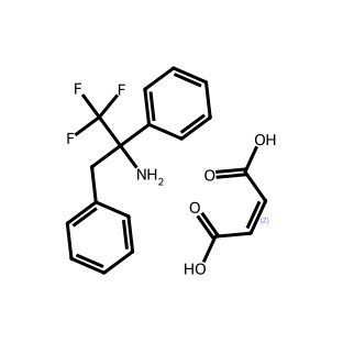 NC(Cc1ccccc1)(c1ccccc1)C(F)(F)F.O=C(O)/C=C\C(=O)O